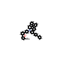 CC(C)(C)c1cccc2c1oc1c(-c3ccc(N(c4ccc(-c5ccc(-c6ccccc6)cc5)cc4)c4cccc5c4-c4ccccc4C5(c4ccccc4)c4ccccc4)cc3)cccc12